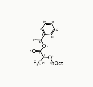 CCCCCCCCOC(C(=O)OC(C)c1ccccc1)C(F)(F)F